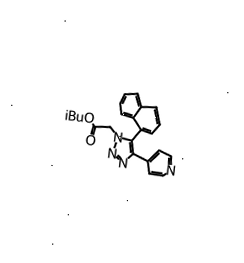 CC(C)COC(=O)Cn1nnc(-c2ccncc2)c1-c1cccc2ccccc12